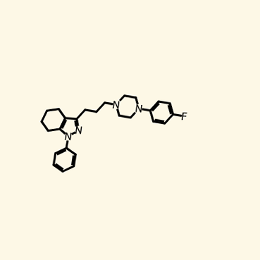 Fc1ccc(N2CCN(CCCc3nn(-c4ccccc4)c4c3CCCC4)CC2)cc1